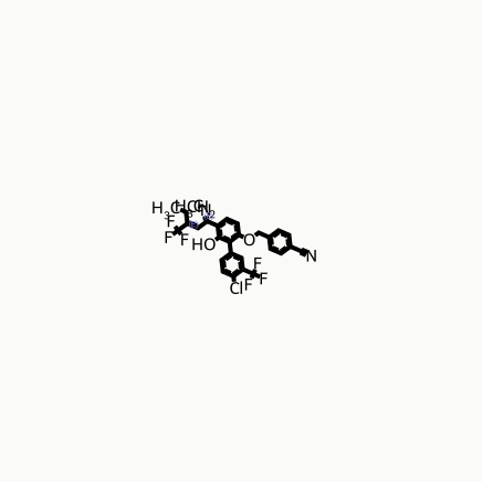 C=C(C)/C(=C\C(=N/C)c1ccc(OCc2ccc(C#N)cc2)c(-c2ccc(Cl)c(C(F)(F)F)c2)c1O)C(F)(F)F